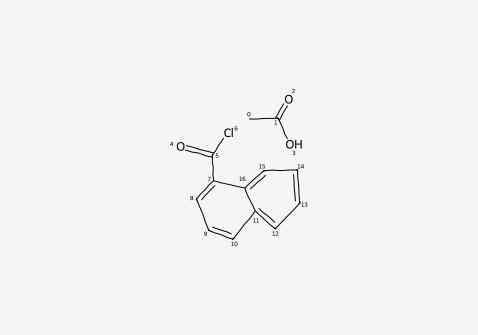 CC(=O)O.O=C(Cl)c1cccc2ccccc12